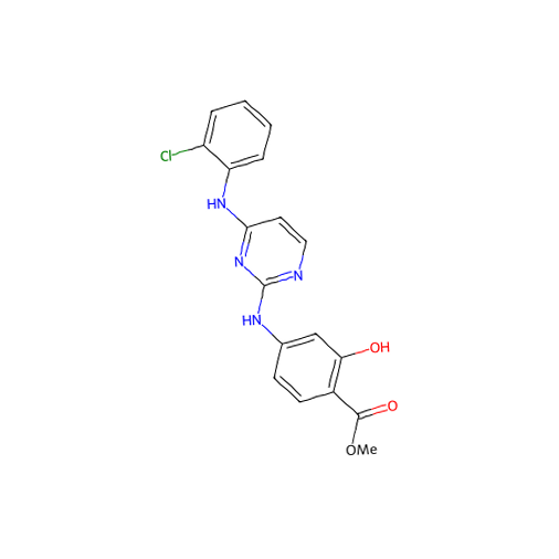 COC(=O)c1ccc(Nc2nccc(Nc3ccccc3Cl)n2)cc1O